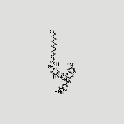 CN(C)c1ccc(/C=C2N=C(/C=C/c3cn[nH]c3)N(CC(=O)NC3CCC(C(=O)NCCOCCOCCCCCCCl)CC3)C/2=O)cc1